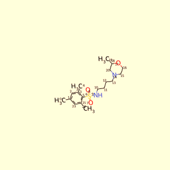 Cc1cc(C)c(S(=O)(=O)NCCCCN2CCOC(C)C2)c(C)c1